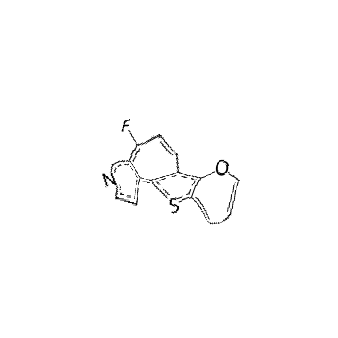 FC1=c2cnccc2=c2sc3c(c2C=C1)OC=CC=3